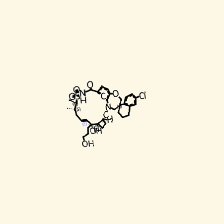 C[C@@H]1[C@@H](C)C/C=C/[C@](O)(CCCO)[C@@H]2CC[C@H]2CN2C[C@@]3(CCCc4cc(Cl)ccc43)COc3ccc(cc32)C(=O)NS1(=O)=O